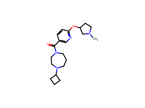 CN1CCC(Oc2ccc(C(=O)N3CCCN(C4CCC4)CC3)cn2)C1